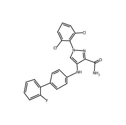 NC(=O)c1nn(-c2c(Cl)cccc2Cl)cc1Nc1ccc(-c2ccccc2F)cc1